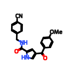 COc1ccc(C(=O)c2c[nH]c(C(=O)NCc3ccc(C#N)cc3)c2)cc1